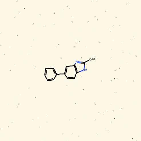 O=Cc1nc2cc(-c3ccccc3)ccc2[nH]1